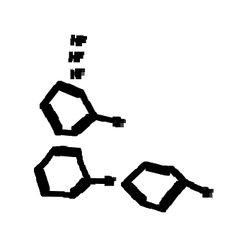 Brc1ccccc1.Brc1ccccc1.Brc1ccccc1.F.F.F